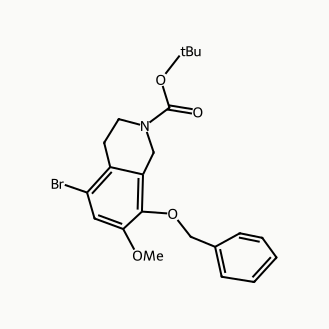 COc1cc(Br)c2c(c1OCc1ccccc1)CN(C(=O)OC(C)(C)C)CC2